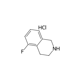 Cl.Fc1cccc2c1CCNC2